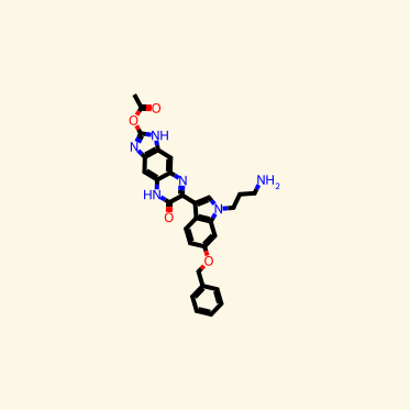 CC(=O)Oc1nc2cc3[nH]c(=O)c(-c4cn(CCCN)c5cc(OCc6ccccc6)ccc45)nc3cc2[nH]1